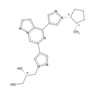 C[C@H]1CCC[C@H]1n1cc(-c2nc(-c3cnn(C[C@@H](O)CO)c3)cn3nccc23)cn1